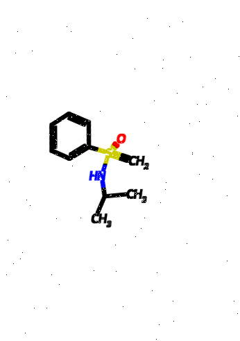 C=S(=O)(NC(C)C)c1ccccc1